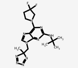 CC1(Cn2cnc3c(N4CCC(F)(F)C4)nc(NC(C)(C)C)nc32)N=NN=N1